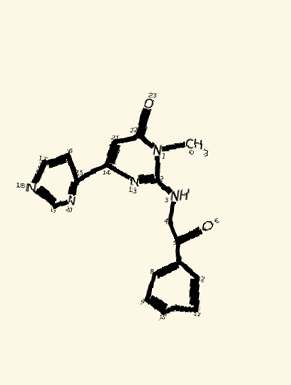 Cn1c(NCC(=O)c2ccccc2)nc(-c2ccncn2)cc1=O